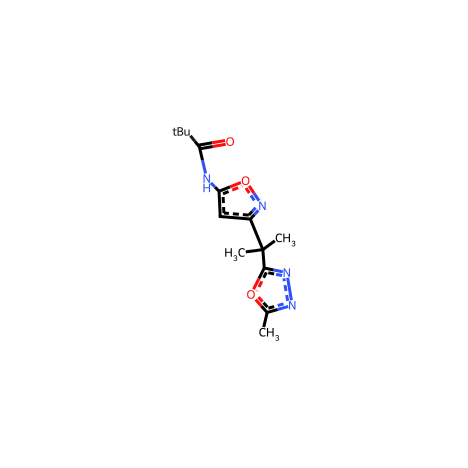 Cc1nnc(C(C)(C)c2cc(NC(=O)C(C)(C)C)on2)o1